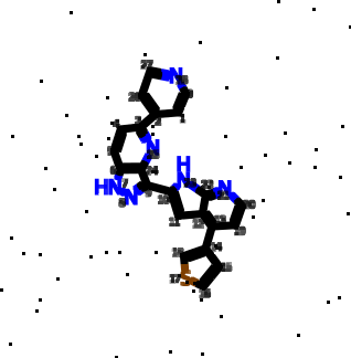 c1cc(-c2ccc3[nH]nc(-c4cc5c(-c6ccsc6)ccnc5[nH]4)c3n2)ccn1